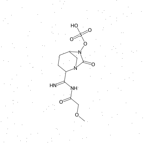 COCC(=O)NC(=N)C1CCC2CN1C(=O)N2OS(=O)(=O)O